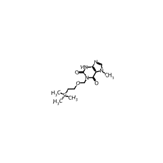 Cn1cnc2[nH]c(=O)n(COCC[Si](C)(C)C)c(=O)c21